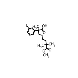 COC(=O)C(C)(C)CCCCC(C)(C(=O)O)c1cccc(I)c1